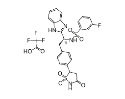 O=C(O)C(F)(F)F.O=C1CC(c2ccc(C[C@H](NS(=O)(=O)c3cccc(F)c3)c3nc4ccccc4[nH]3)cc2)S(=O)(=O)N1